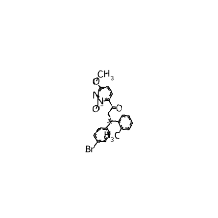 COc1ccc(C(=O)C[C@H](c2ccc(Br)cc2)c2ccccc2C)[n+]([O-])n1